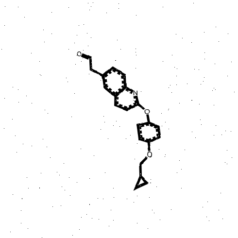 O=CCc1ccc2nc(Oc3ccc(OCC4CC4)cc3)ccc2c1